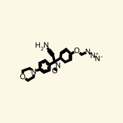 [N-]=[N+]=NCOC1=CCC(C(C#CN)(N=O)c2ccc(N3CCOCC3)cc2)C=C1